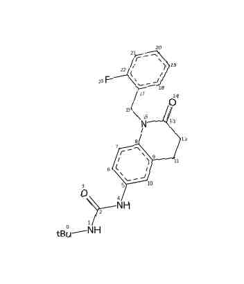 CC(C)(C)NC(=O)Nc1ccc2c(c1)CCC(=O)N2Cc1ccccc1F